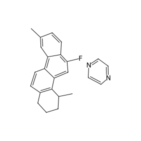 Cc1ccc2c(F)cc3c4c(ccc3c2c1)CCCC4C.c1cnccn1